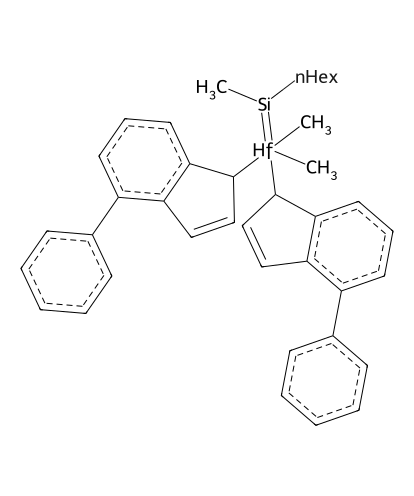 CCCCCC[Si](C)=[Hf]([CH3])([CH3])([CH]1C=Cc2c(-c3ccccc3)cccc21)[CH]1C=Cc2c(-c3ccccc3)cccc21